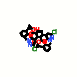 Cc1cccc(C2CC2)c1Oc1nnc(Cl)cc1-c1ccc(C(=O)O)c(-c2cc(Cl)nnc2Oc2c(C)cccc2C2CC2)c1C(=O)O